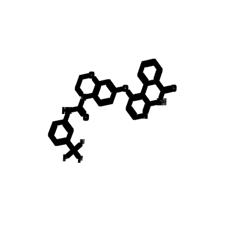 O=C(Nc1cccc(C(F)(F)F)c1)N1CCOc2cc(Oc3ccnc4[nH]c(=O)c5ccccc5c34)ccc21